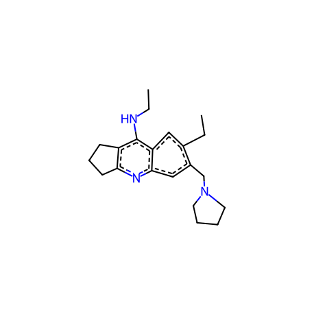 CCNc1c2c(nc3cc(CN4CCCC4)c(CC)cc13)CCC2